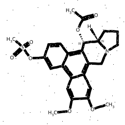 COc1cc2c3c(c4ccc(OS(C)(=O)=O)cc4c2cc1OC)[C@H](OC(C)=O)[C@@H]1CCCN1C3